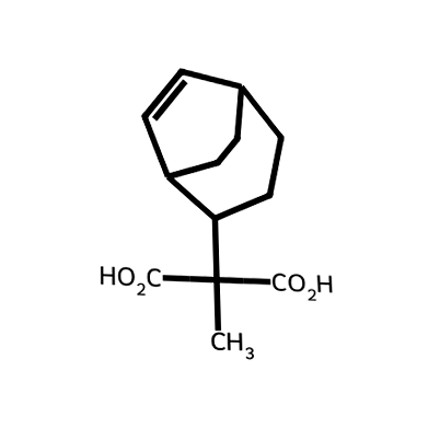 CC(C(=O)O)(C(=O)O)C1CCC2C=CC1CC2